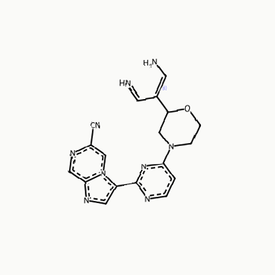 N#Cc1cn2c(-c3nccc(N4CCOC(/C(C=N)=C/N)C4)n3)cnc2cn1